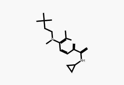 C=C(/C=C\C(=C(C)C)N(C)CCC(C)(C)C)C(=C)NC1CC1